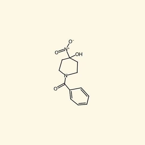 O=C(c1ccccc1)N1CCC(O)([N+](=O)[O-])CC1